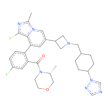 Cc1nc(F)c2c(-c3ccc(F)cc3C(=O)N3CCOC[C@H]3C)cc(C3CN(CC4CCC(n5cncn5)CC4)C3)cn12